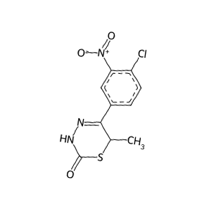 CC1SC(=O)NN=C1c1ccc(Cl)c([N+](=O)[O-])c1